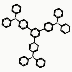 C1=CC(N(c2ccccc2)c2ccc(-c3cc(-c4ccc(N(c5ccccc5)c5ccccc5)cc4)cc(C4C=CC(N(c5ccccc5)c5ccccc5)=CC4)c3)cc2)=CCC1